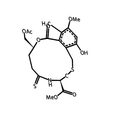 COC(=O)[C@@H]1CSCc2c(O)cc(OC)c(C)c2C(=O)O[C@H](COC(C)=O)CCC(=S)N1